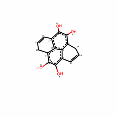 Oc1c(O)c2c3c(c(O)c(O)c4c3c1C=CC4)C=CC2